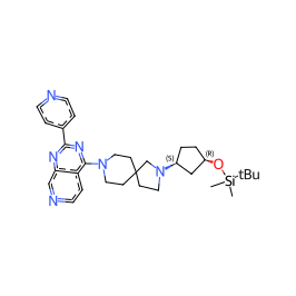 CC(C)(C)[Si](C)(C)O[C@@H]1CC[C@H](N2CCC3(CCN(c4nc(-c5ccncc5)nc5cnccc45)CC3)C2)C1